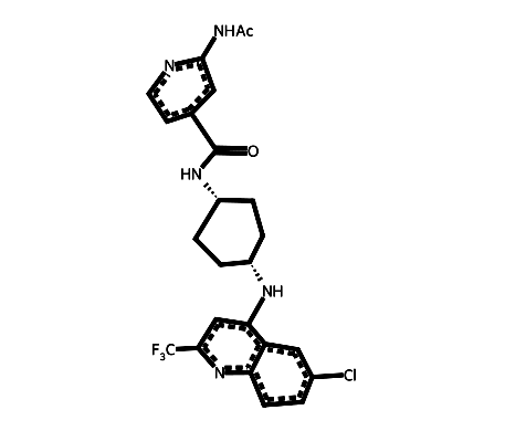 CC(=O)Nc1cc(C(=O)N[C@H]2CC[C@@H](Nc3cc(C(F)(F)F)nc4ccc(Cl)cc34)CC2)ccn1